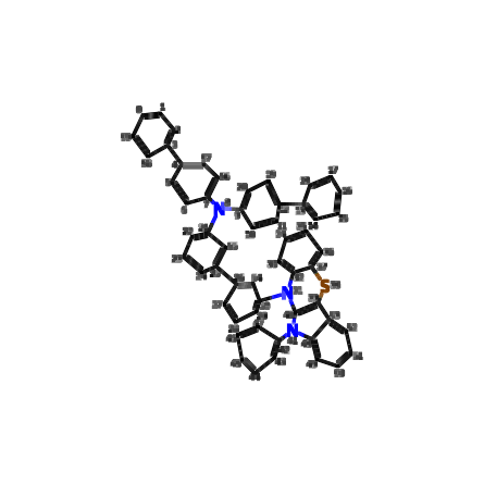 c1ccc(-c2ccc(N(c3ccc(-c4ccccc4)cc3)c3cccc(-c4cccc(N5c6ccccc6Sc6c5n(-c5ccccc5)c5ccccc65)c4)c3)cc2)cc1